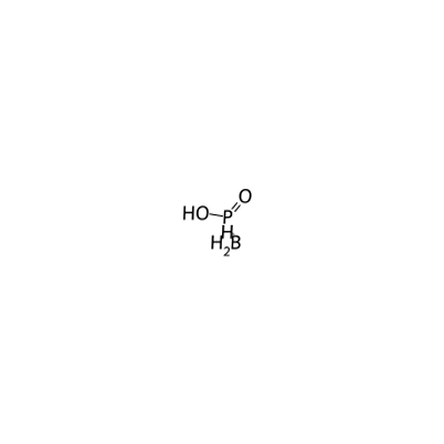 B[PH](=O)O